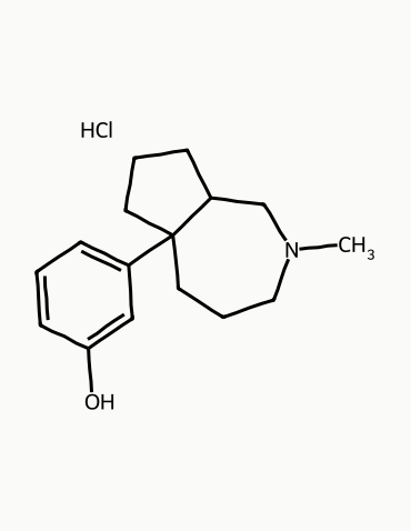 CN1CCCC2(c3cccc(O)c3)CCCC2C1.Cl